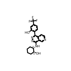 Oc1cc(C(F)(F)F)ccc1-c1nnc(N[C@H]2CCCC[C@@H]2O)c2cnccc12